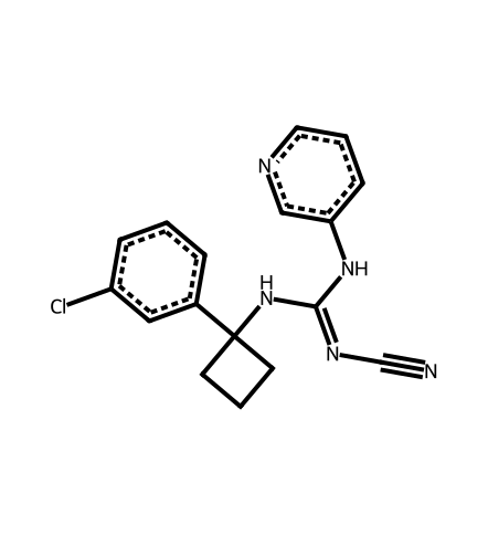 N#C/N=C(\Nc1cccnc1)NC1(c2cccc(Cl)c2)CCC1